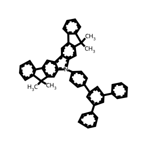 CC1(C)c2ccccc2-c2cc3c4cc5c(cc4n(-c4ccc(-c6cc(-c7ccccc7)cc(-c7ccccc7)c6)cc4)c3cc21)C(C)(C)c1ccccc1-5